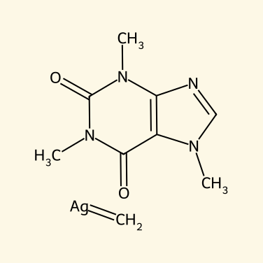 Cn1c(=O)c2c(ncn2C)n(C)c1=O.[CH2]=[Ag]